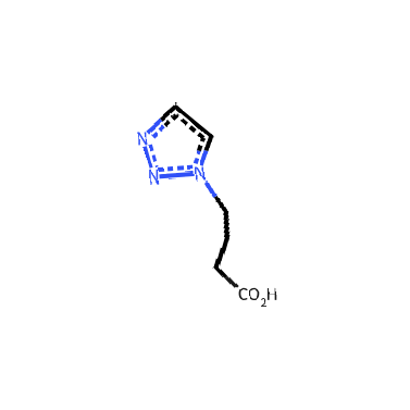 O=C(O)CCn1c[c]nn1